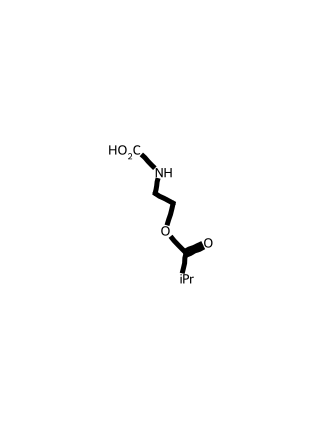 CC(C)C(=O)OCCNC(=O)O